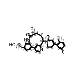 Cc1ccc(Cl)cc1C1=CC(=O)N([C@H]2CCC[C@@H](C)C(=O)Nc3cc(NC(=O)O)ccc3-c3ccnc2c3)CC1